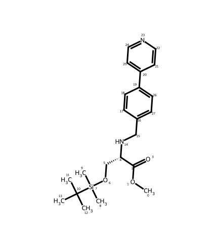 COC(=O)[C@H](CO[Si](C)(C)C(C)(C)C)NCc1ccc(-c2ccncc2)cc1